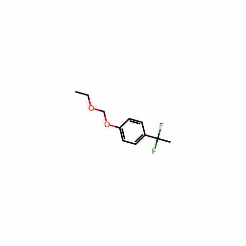 CCOCOc1ccc(C(C)(F)F)cc1